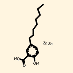 CCCCCCCCc1ccc(O)c(C(=O)O)c1.[Zn].[Zn]